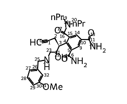 C#CC[C@@H](c1c(C(N)=O)cc(C(N)=O)cc1C(=O)N(CCC)CCC)[C@@H](O)CNCc1cccc(OC)c1